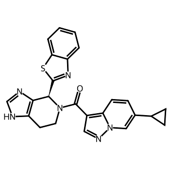 O=C(c1cnn2cc(C3CC3)ccc12)N1CCc2[nH]cnc2[C@H]1c1nc2ccccc2s1